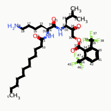 CCCCCCCCCCCC(=O)N[C@@H](CCCCN)C(=O)N[C@@H](CC(C)C)C(=O)COC(=O)c1c(C(F)(F)F)cccc1C(F)(F)F